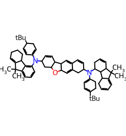 CC(C)(C)C1=CC=C(N(C2C=CC3=CC4C(C=C3C2)OC2CC(N(C3=CCC(C(C)(C)C)C=C3)c3cccc5c3C3CCCC=C3C5(C)C)C=CC24)C2CC=CC3C2C2CC=CC=C2C3(C)C)CC1